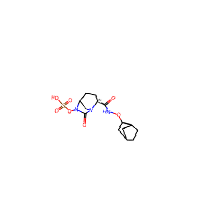 O=C(NOC1CC2CCC1C2)[C@@H]1CCC2CN1C(=O)N2OS(=O)(=O)O